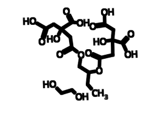 CCC(COC(=O)CC(O)(CC(=O)O)C(=O)O)OC(=O)CC(O)(CC(=O)O)C(=O)O.OCCO